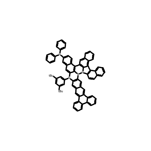 CC(C)(C)c1cc(N2c3cc4cc5c6ccccc6c6ccccc6c5cc4cc3B3c4c2cc2cc(N(c5ccccc5)c5ccccc5)ccc2c4-c2cc4ccccc4c4c5c6ccccc6ccc5n3c24)cc(C(C)(C)C)c1